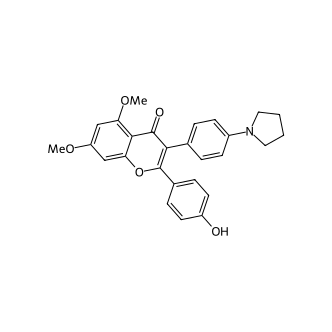 COc1cc(OC)c2c(=O)c(-c3ccc(N4CCCC4)cc3)c(-c3ccc(O)cc3)oc2c1